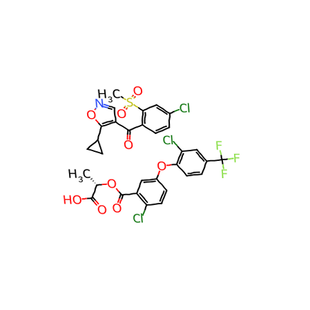 CS(=O)(=O)c1cc(Cl)ccc1C(=O)c1cnoc1C1CC1.C[C@H](OC(=O)c1cc(Oc2ccc(C(F)(F)F)cc2Cl)ccc1Cl)C(=O)O